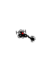 O=C(NO)C1(S(=O)(=O)N2CCC(CCCCC(F)(F)C(F)(F)F)CC2)CCOCC1